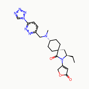 CC[C@@H]1C[C@]2(CC[C@@H](N(C)Cc3ccc(-n4cnnn4)nn3)CC2)C(=O)N1C1=CC(=O)OC1